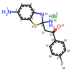 Br.Nc1ccc2c(c1)SC(N)(CC(=O)c1ccc(F)cc1)[N]2